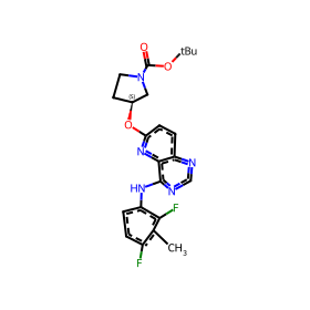 Cc1c(F)ccc(Nc2ncnc3ccc(O[C@H]4CCN(C(=O)OC(C)(C)C)C4)nc23)c1F